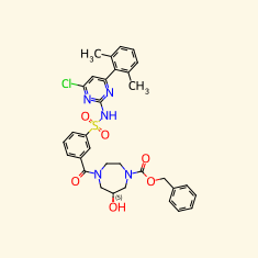 Cc1cccc(C)c1-c1cc(Cl)nc(NS(=O)(=O)c2cccc(C(=O)N3CCN(C(=O)OCc4ccccc4)C[C@@H](O)C3)c2)n1